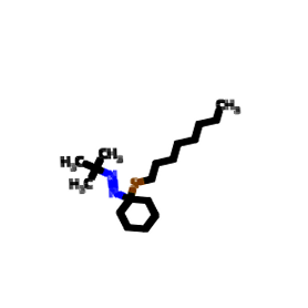 CCCCCCCCSC1(N=NC(C)(C)C)CCCCC1